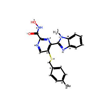 Cn1c(-c2nc(C(=O)NO)ncc2SCc2ccc(C(C)(C)C)cc2)nc2ccccc21